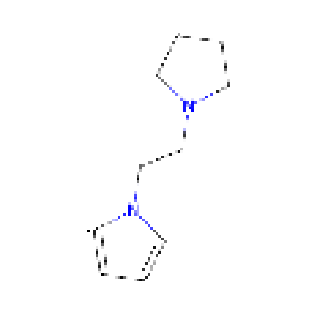 [c]1cccn1CCN1CCCC1